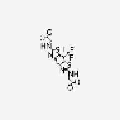 COC(=O)CNc1nc2cc3nc(NCC(=O)OC)sc3c(C(F)(F)F)c2s1